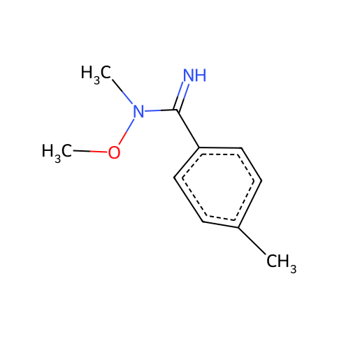 CON(C)C(=N)c1ccc(C)cc1